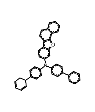 C1=CCC(c2ccc(N(c3ccc(-c4ccccc4)cc3)c3ccc4c(c3)oc3c5ccccc5ccc43)cc2)C=C1